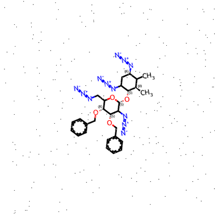 CC1[C@@H](C)[C@H](O[C@H]2OC(CN=[N+]=[N-])[C@@H](OCc3ccccc3)[C@@H](OCc3ccccc3)C2N=[N+]=[N-])C(N=[N+]=[N-])C[C@H]1N=[N+]=[N-]